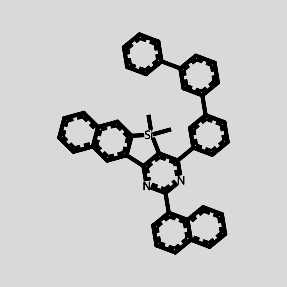 C[Si]1(C)c2cc3ccccc3cc2-c2nc(-c3cccc4ccccc34)nc(-c3cccc(-c4cccc(-c5ccccc5)c4)c3)c21